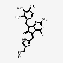 COc1c(C)cnc(CN2C(=O)/C(=C\c3nc(CNC(C)C)c[nH]3)c3c(Cl)nc(N)nc32)c1C